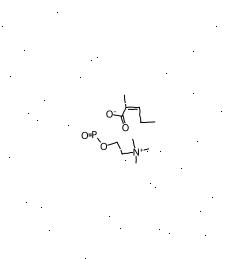 CCC=C(C)C(=O)[O-].C[N+](C)(C)CCOP=O